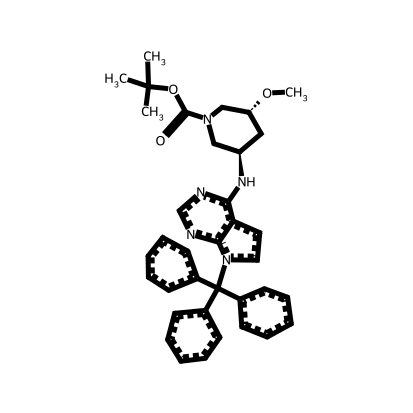 CO[C@@H]1C[C@@H](Nc2ncnc3c2ccn3C(c2ccccc2)(c2ccccc2)c2ccccc2)CN(C(=O)OC(C)(C)C)C1